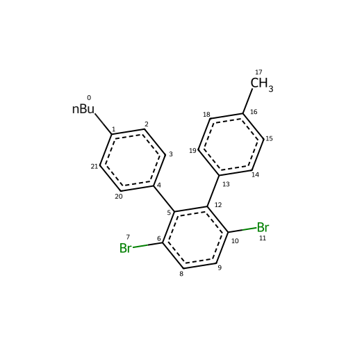 CCCCc1ccc(-c2c(Br)ccc(Br)c2-c2ccc(C)cc2)cc1